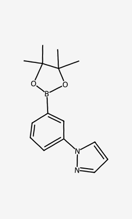 CC1(C)OB(c2cccc(-n3cccn3)c2)OC1(C)C